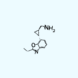 CCc1nc2cccc([C@@H]3C[C@H]3CN)c2o1